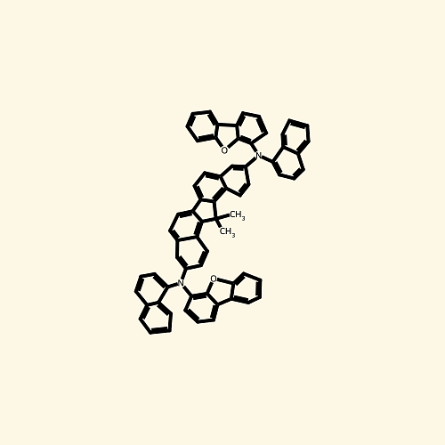 CC1(C)c2c(ccc3cc(N(c4cccc5ccccc45)c4cccc5c4oc4ccccc45)ccc23)-c2ccc3cc(N(c4cccc5ccccc45)c4cccc5c4oc4ccccc45)ccc3c21